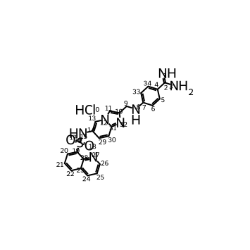 Cl.N=C(N)c1ccc(NCc2cn3cc(NS(=O)(=O)c4cccc5cccnc45)ccc3n2)cc1